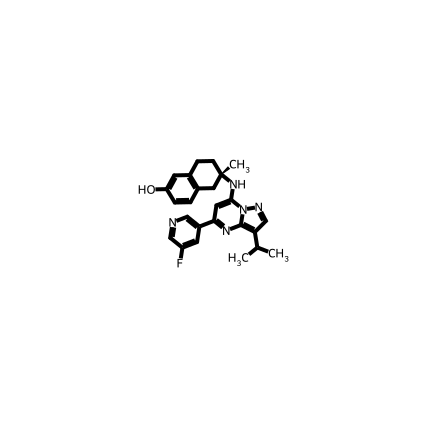 CC(C)c1cnn2c(N[C@@]3(C)CCc4cc(O)ccc4C3)cc(-c3cncc(F)c3)nc12